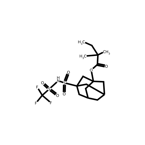 CCC(C)(C)C(=O)OC12CC3CC(C1)CC(S(=O)(=O)NS(=O)(=O)C(F)(F)F)(C3)C2